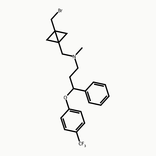 CN(CCC(Oc1ccc(C(F)(F)F)cc1)c1ccccc1)CC12CC1(CBr)C2